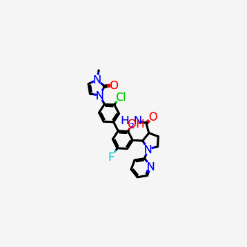 Cn1ccn(-c2ccc(-c3cc(F)cc(C4C(C(N)=O)CCN4c4ccccn4)c3O)cc2Cl)c1=O